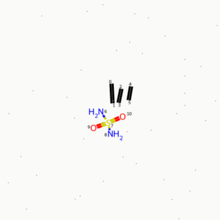 C=C.C=C.C=C.NS(N)(=O)=O